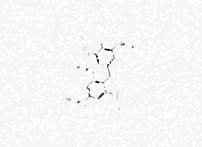 Cc1c(N=C=O)cc(Cc2c(N=C=O)cc(N=C=O)cc2N=C=O)cc1N=C=O